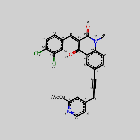 COc1cc(CC#Cc2ccc3c(c2)C(=O)/C(=C\c2ccc(Cl)c(Cl)c2)C(=O)N3C)ccn1